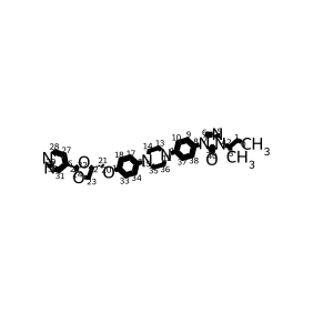 CCC(C)n1ncn(-c2ccc(N3CCN(c4ccc(OC[C@@H]5CO[C@@H](c6ccnnc6)O5)cc4)CC3)cc2)c1=O